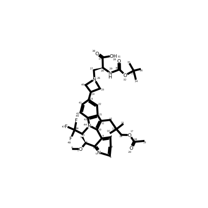 CO[C@@H](C)c1ncccc1-c1c(CC(C)(C)COC(C)=O)c2cc(C3CN(C[C@H](NC(=O)OC(C)(C)C)C(=O)O)C3)ccc2n1CC(F)(F)F